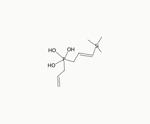 C=CCP(O)(O)(O)CC=C[Si](C)(C)C